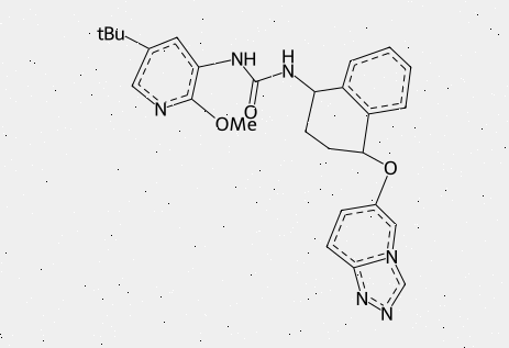 COc1ncc(C(C)(C)C)cc1NC(=O)NC1CCC(Oc2ccc3nncn3c2)c2ccccc21